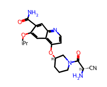 CC(C)Oc1cc2c(O[C@@H]3CCCN(C(=O)[C@@H](N)C#N)C3)ccnc2cc1C(N)=O